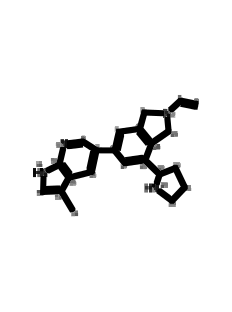 C=CN1Cc2cc(-c3cnc4[nH]cc(C)c4c3)cc(C3CCCN3)c2C1